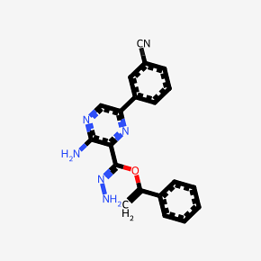 C=C(O/C(=N\N)c1nc(-c2cccc(C#N)c2)cnc1N)c1ccccc1